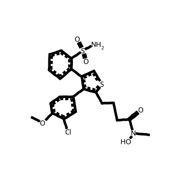 COc1ccc(-c2c(-c3ccccc3S(N)(=O)=O)csc2CCCC(=O)N(C)O)cc1Cl